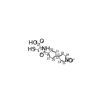 O=C(NC(CS)C(=O)O)c1ccc(-c2cc[n+]([O-])cc2)cc1